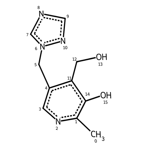 Cc1ncc(Cn2cncn2)c(CO)c1O